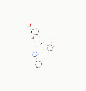 COc1ccc(CN(C(=O)C(Cc2c(C)cc(C(N)=O)cc2C)NC(=O)O)C(C)c2nc(-c3ccccc3Br)c[nH]2)cc1OC